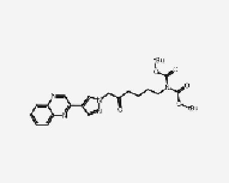 CC(C)(C)OC(=O)N(CCCCC(=O)Cn1cc(-c2cnc3ccccc3n2)cn1)C(=O)OC(C)(C)C